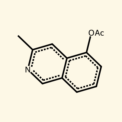 CC(=O)Oc1cccc2cnc(C)cc12